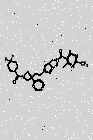 Cc1nc(C(F)(F)F)nc(C)c1C(=O)N1CC2=CN(CCC3(c4ccccc4)CN(C(=O)C4CCC(F)(F)CC4)C3)CC2C1